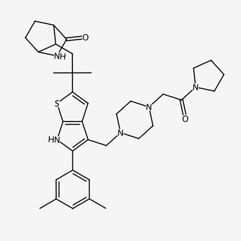 Cc1cc(C)cc(-c2[nH]c3sc(C(C)(C)CC4C5CCC4C(=O)N5)cc3c2CN2CCN(CC(=O)N3CCCC3)CC2)c1